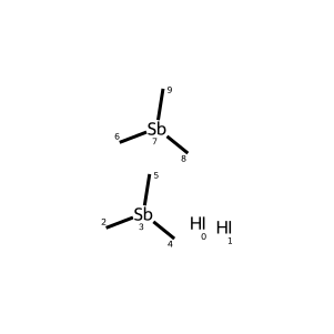 I.I.[CH3][Sb]([CH3])[CH3].[CH3][Sb]([CH3])[CH3]